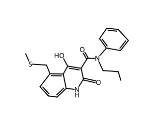 CCCN(C(=O)c1c(O)c2c(CSC)cccc2[nH]c1=O)c1ccccc1